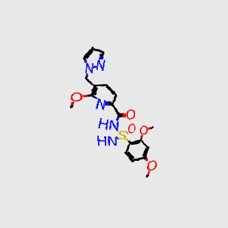 COc1ccc(S(=N)(=O)NC(=O)c2ccc(Cn3cccn3)c(OC)n2)c(OC)c1